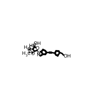 CC(CCn1ncc2cc(C#Cc3ccc(CCO)cc3)ccc21)(C(=O)NO)S(C)(=O)=O